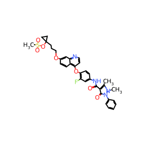 Cc1c(C(=O)Nc2ccc(Oc3ccnc4cc(OCCCC5(OS(C)(=O)=O)CC5)ccc34)c(F)c2)c(=O)n(-c2ccccc2)n1C